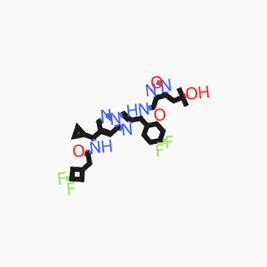 CC(C)(O)Cc1nonc1C(=O)N[C@H](c1cn2ncc(C(NC(=O)CC3CC(F)(F)C3)C3CC3)cc2n1)C1CCC(F)(F)CC1